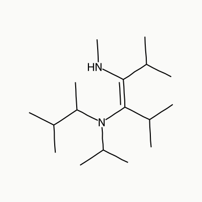 CN/C(=C(/C(C)C)N(C(C)C)C(C)C(C)C)C(C)C